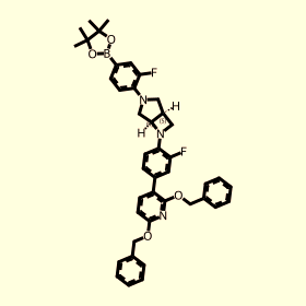 CC1(C)OB(c2ccc(N3C[C@H]4CN(c5ccc(-c6ccc(OCc7ccccc7)nc6OCc6ccccc6)cc5F)[C@H]4C3)c(F)c2)OC1(C)C